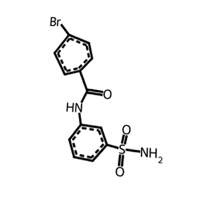 NS(=O)(=O)c1cccc(NC(=O)c2ccc(Br)cc2)c1